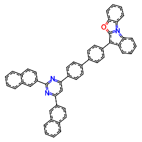 c1ccc2cc(-c3cc(-c4ccc(-c5ccc(-c6c7ccccc7n7c6oc6ccccc67)cc5)cc4)nc(-c4ccc5ccccc5c4)n3)ccc2c1